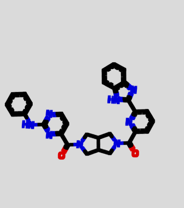 O=C(c1cccc(-c2nc3ccccc3[nH]2)n1)N1CC2CN(C(=O)c3ccnc(Nc4ccccc4)n3)CC2C1